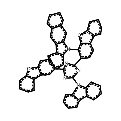 c1ccc2cc3c(cc2c1)c1ccccc1n3-c1c(-c2nc(-c3ccc4oc5ccccc5c4c3)nc(-n3c4ccccc4c4ccccc43)n2)ccc2c1oc1ccccc12